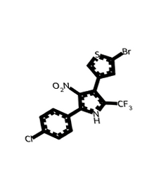 O=[N+]([O-])c1c(-c2ccc(Cl)cc2)[nH]c(C(F)(F)F)c1-c1csc(Br)c1